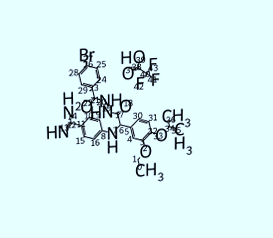 CCOc1cc(C(Nc2ccc(C(=N)N)cc2)C(=O)NNC(=O)c2ccc(Br)cc2)ccc1OC(C)C.O=C(O)C(F)(F)F